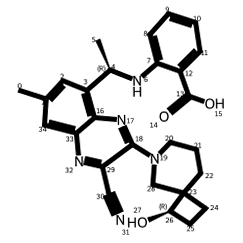 Cc1cc([C@@H](C)Nc2ccccc2C(=O)O)c2nc(N3CCCC4(CC[C@H]4O)C3)c(C#N)nc2c1